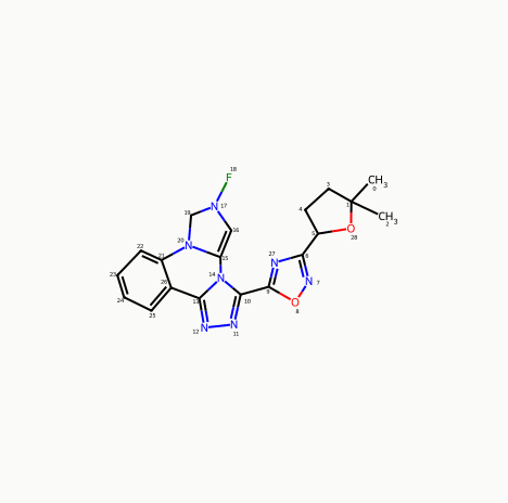 CC1(C)CCC(c2noc(-c3nnc4n3C3=CN(F)CN3c3ccccc3-4)n2)O1